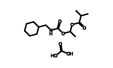 CC(OC(=O)NCC1CCCCC1)OC(=O)C(C)C.O=C(O)O